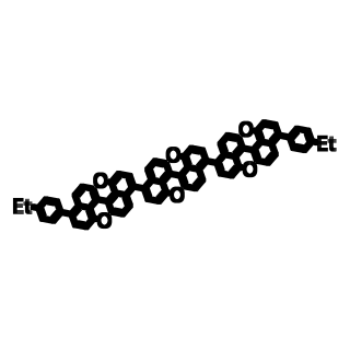 CCc1ccc(-c2ccc3oc4ccc5c(-c6ccc7oc8ccc9c(-c%10ccc%11oc%12ccc%13c(-c%14ccc(CC)cc%14)ccc%14oc%15ccc%10c%11c%15-c%12c%14%13)ccc%10oc%11ccc6c7c%11-c8c%109)ccc6oc7ccc2c3c7-c4c65)cc1